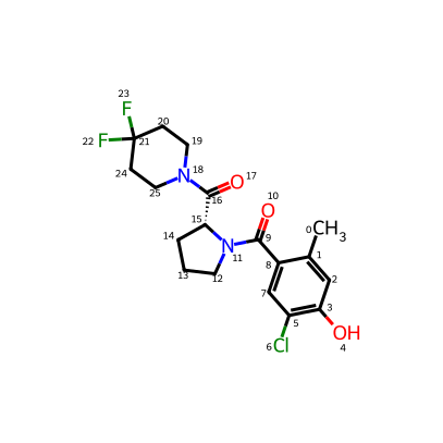 Cc1cc(O)c(Cl)cc1C(=O)N1CCC[C@@H]1C(=O)N1CCC(F)(F)CC1